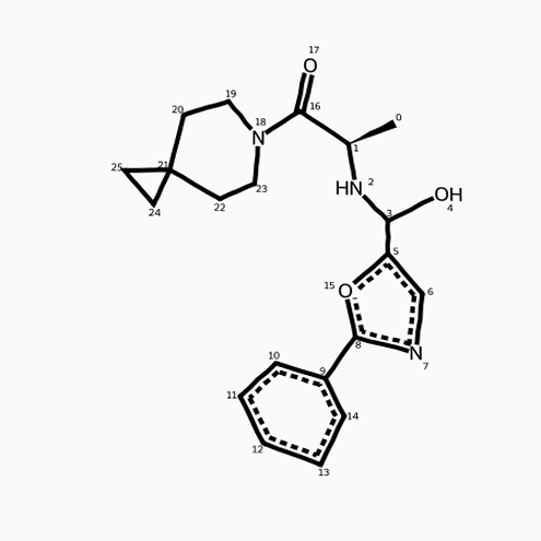 C[C@@H](NC(O)c1cnc(-c2ccccc2)o1)C(=O)N1CCC2(CC1)CC2